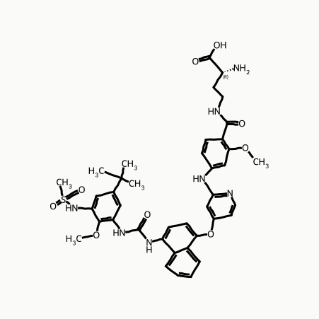 COc1cc(Nc2cc(Oc3ccc(NC(=O)Nc4cc(C(C)(C)C)cc(NS(C)(=O)=O)c4OC)c4ccccc34)ccn2)ccc1C(=O)NCC[C@@H](N)C(=O)O